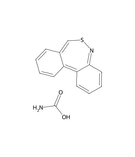 C1=c2ccccc2=c2ccccc2=NS1.NC(=O)O